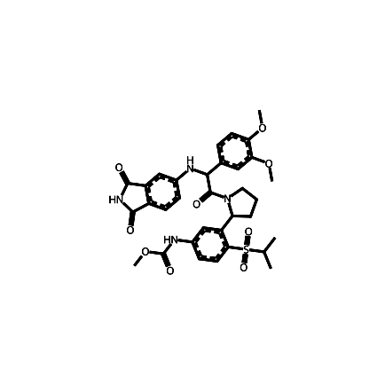 COC(=O)Nc1ccc(S(=O)(=O)C(C)C)c(C2CCCN2C(=O)C(Nc2ccc3c(c2)C(=O)NC3=O)c2ccc(OC)c(OC)c2)c1